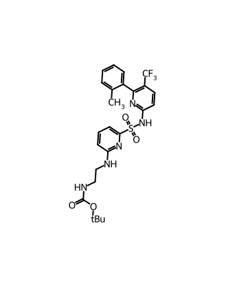 Cc1ccccc1-c1nc(NS(=O)(=O)c2cccc(NCCNC(=O)OC(C)(C)C)n2)ccc1C(F)(F)F